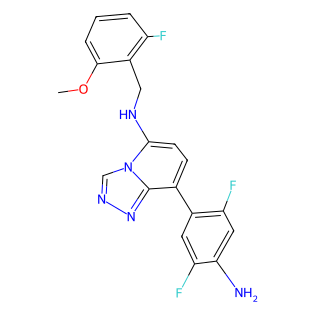 COc1cccc(F)c1CNc1ccc(-c2cc(F)c(N)cc2F)c2nncn12